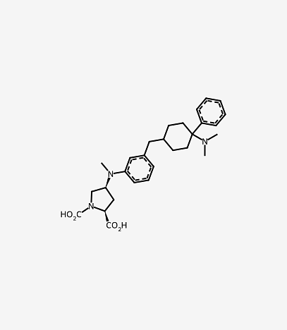 CN(c1cccc(CC2CCC(c3ccccc3)(N(C)C)CC2)c1)[C@H]1C[C@@H](C(=O)O)N(C(=O)O)C1